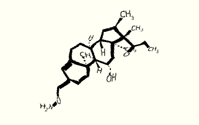 CCC(=O)[C@@]1(C)[C@H](C)C[C@H]2[C@@H]3CCC4=C/C(=C/ON)C=C[C@]4(C)[C@H]3[C@@H](O)C[C@@]21C